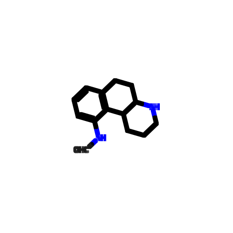 O=CNc1cccc2c1C1CCCNC1CC2